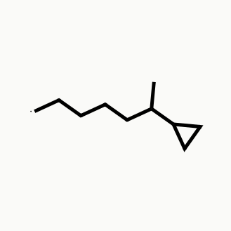 [CH2]CCCCC(C)C1CC1